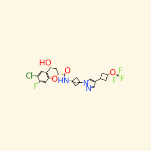 O=C(NC12CC(n3cc(C4CC(OC(F)(F)F)C4)cn3)(C1)C2)[C@H]1C[C@@H](O)c2cc(Cl)c(F)cc2O1